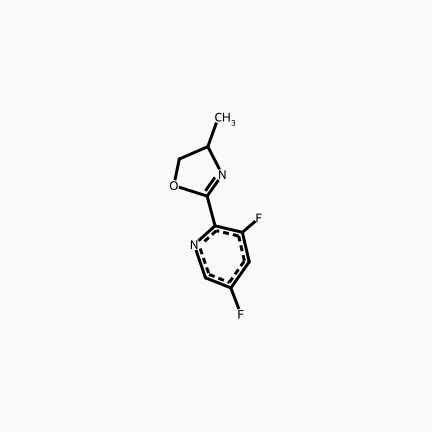 CC1COC(c2ncc(F)cc2F)=N1